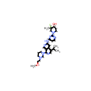 COCCN1CCCN(c2ncc(C(C)C)c3cc(Nc4ccnc(N5CC[C@@H](O)[C@@](C)(F)C5)n4)ncc23)C1